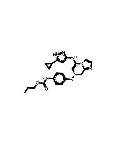 CCCOC(=O)Nc1ccc(SN2C=C(Nc3cc(C4CC4)[nH]n3)[N+]3C=CN=C3C2)cc1